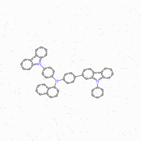 c1ccc(-n2c3ccccc3c3ccc(-c4ccc(N(c5ccc(-n6c7ccccc7c7ccccc76)cc5)c5cccc6ccccc56)cc4)cc32)cc1